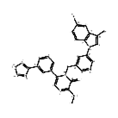 CNc1ncc(-c2cccc(-c3nn[nH]n3)c2)n(Cc2cncc(-n3cc(C)c4cc(F)ccc43)c2)c1=O